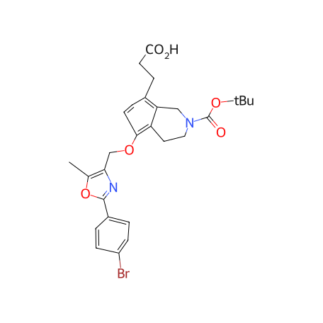 Cc1oc(-c2ccc(Br)cc2)nc1COc1ccc(CCC(=O)O)c2c1CCN(C(=O)OC(C)(C)C)C2